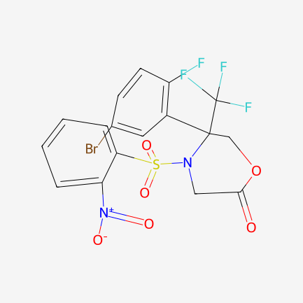 O=C1CN(S(=O)(=O)c2ccccc2[N+](=O)[O-])C(c2cc(Br)ccc2F)(C(F)(F)F)CO1